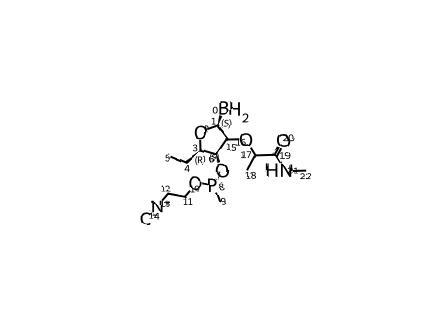 B[C@@H]1O[C@H](CC)[C@H](OP(C)OCC[N+]#[C-])C1OC(C)C(=O)NC